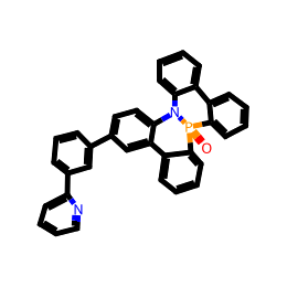 O=P12c3ccccc3-c3ccccc3N1c1ccc(-c3cccc(-c4ccccn4)c3)cc1-c1ccccc12